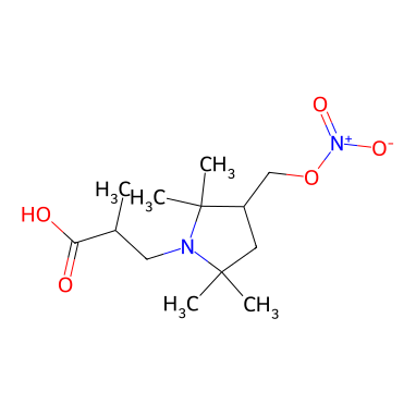 CC(CN1C(C)(C)CC(CO[N+](=O)[O-])C1(C)C)C(=O)O